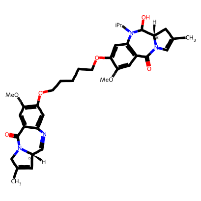 COc1cc2c(cc1OCCCCCOc1cc3c(cc1OC)C(=O)N1C=C(C)C[C@H]1C(O)N3C(C)C)N=C[C@@H]1C=C(C)CN1C2=O